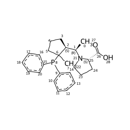 C[C@H]([C@@H]1CCCC1(C)P(c1ccccc1)c1ccccc1)N1CCC[C@H]1C(=O)O